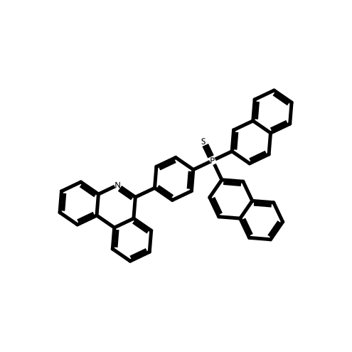 S=P(c1ccc(-c2nc3ccccc3c3ccccc23)cc1)(c1ccc2ccccc2c1)c1ccc2ccccc2c1